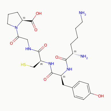 NCCCC[C@H](N)C(=O)N[C@@H](Cc1ccc(O)cc1)C(=O)N[C@@H](CS)C(=O)NCC(=O)N1CCC[C@H]1C(=O)O